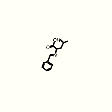 CC(C)CC(/N=C/c1ccccc1)C(=O)O